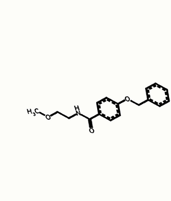 COCCNC(=O)c1ccc(OCc2ccccc2)cc1